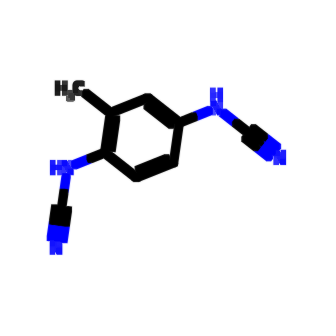 Cc1cc(NC#N)ccc1NC#N